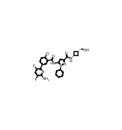 Nc1nc(-c2ccc(Cl)c(C(=O)Nc3cc(C(=O)N[C@H]4C[C@@H](CO)C4)nn3-c3ccccc3)c2)c(F)cc1F